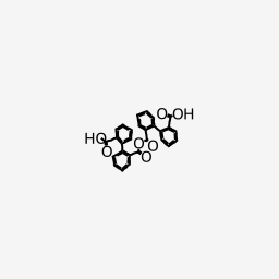 O=C(O)c1ccccc1-c1ccccc1C(=O)OC(=O)c1ccccc1-c1ccccc1C(=O)O